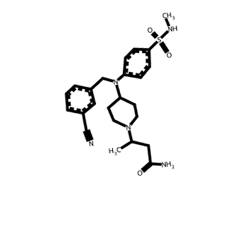 CNS(=O)(=O)c1ccc(N(Cc2cccc(C#N)c2)C2CCN(C(C)CC(N)=O)CC2)cc1